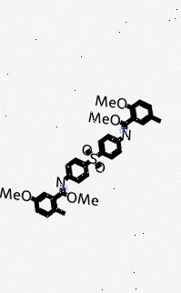 CO/C(=N\c1ccc(S(=O)(=O)c2ccc(/N=C(\OC)c3cc(C)ccc3OC)cc2)cc1)c1cc(OC)ccc1C